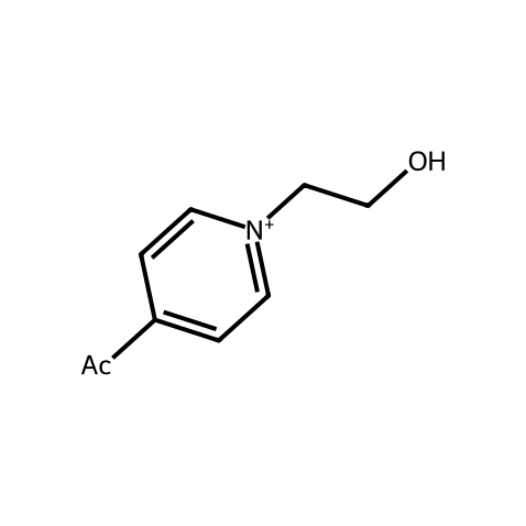 CC(=O)c1cc[n+](CCO)cc1